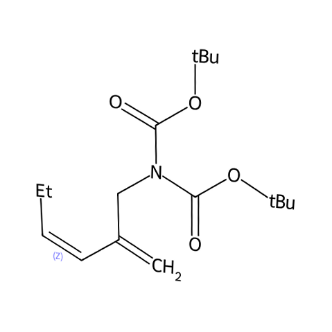 C=C(/C=C\CC)CN(C(=O)OC(C)(C)C)C(=O)OC(C)(C)C